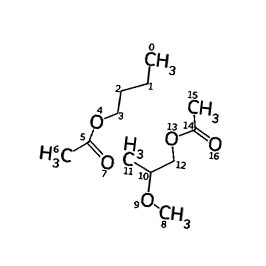 CCCCOC(C)=O.COC(C)COC(C)=O